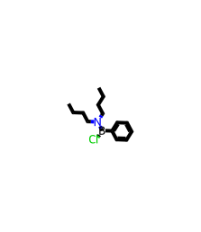 CCCCN(CCCC)B(Cl)c1ccccc1